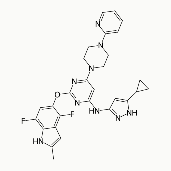 Cc1cc2c(F)c(Oc3nc(Nc4cc(C5CC5)[nH]n4)cc(N4CCN(c5ccccn5)CC4)n3)cc(F)c2[nH]1